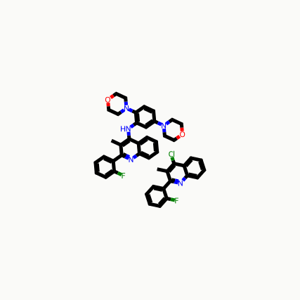 Cc1c(-c2ccccc2F)nc2ccccc2c1Cl.Cc1c(-c2ccccc2F)nc2ccccc2c1Nc1cc(N2CCOCC2)ccc1N1CCOCC1